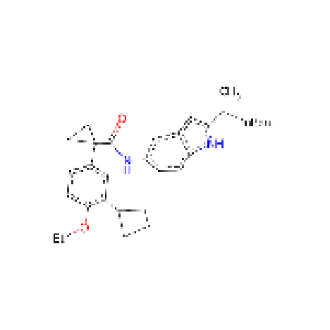 CCCCCC(C)c1cc2cc(NC(=O)C3(c4ccc(OCC)c(C5CCC5)c4)CC3)ccc2[nH]1